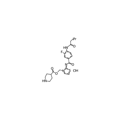 CC(C)CC(=O)Nc1ccc(C(=O)/N=c2\sccn2COC(=O)C2CCNCC2)cc1F.Cl